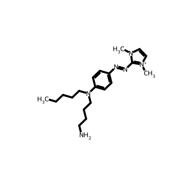 CCCCCN(CCCCN)c1ccc(N=Nc2n(C)cc[n+]2C)cc1